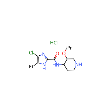 CCc1[nH]c(C(=O)NC2CCNCC2OC(C)C)nc1Cl.Cl